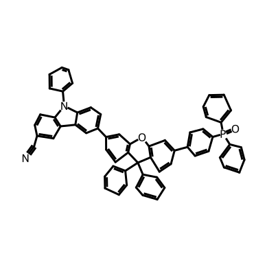 N#Cc1ccc2c(c1)c1cc(-c3ccc4c(c3)Oc3cc(-c5ccc(P(=O)(c6ccccc6)c6ccccc6)cc5)ccc3C4(c3ccccc3)c3ccccc3)ccc1n2-c1ccccc1